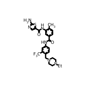 CCN1CCN(Cc2ccc(NC(=O)c3ccc(C)c(NC(=O)c4cnc(N)s4)c3)cc2C(F)(F)F)CC1